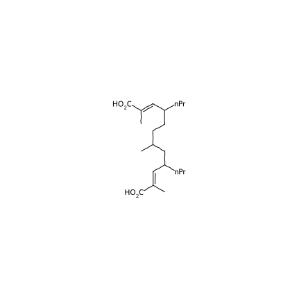 CCCC(C=C(C)C(=O)O)CCC(C)CC(C=C(C)C(=O)O)CCC